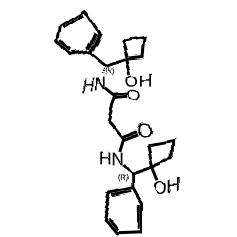 O=C(CC(=O)N[C@H](c1ccccc1)C1(O)CCC1)N[C@H](c1ccccc1)C1(O)CCC1